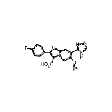 CC(C)Oc1cc2c(C(=O)O)c(-c3ccc(F)cc3)oc2cc1-c1nnc[nH]1